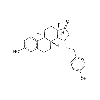 C[C@]12CC[C@@H]3c4ccc(O)cc4CC[C@H]3[C@@H]1[C@@H](CCc1ccc(O)cc1)CC2=O